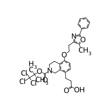 Cc1oc(-c2ccccc2)nc1CCOc1ccc(CCC(=O)O)c2c1CCN(C(=O)OC(C)(C)C(Cl)(Cl)Cl)C2